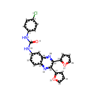 O=C(Nc1ccc(Cl)cc1)Nc1ccc2nc(-c3ccco3)c(-c3ccco3)nc2c1